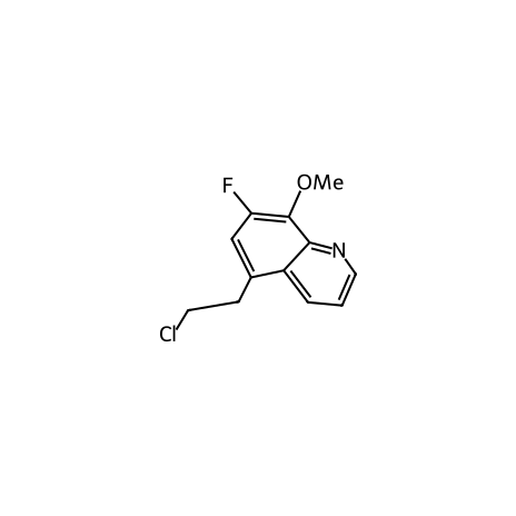 COc1c(F)cc(CCCl)c2cccnc12